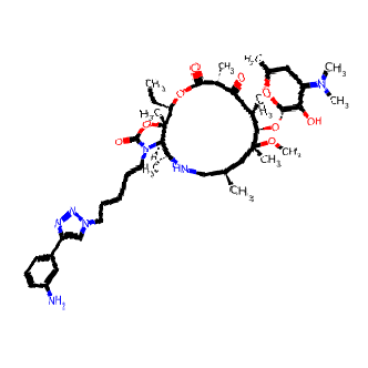 CC[C@H]1OC(=O)[C@H](C)C(=O)[C@@H](C)[C@@H](O[C@@H]2OC(C)CC(N(C)C)C2O)[C@](C)(OC)C[C@@H](C)CN[C@H](C)[C@H]2N(CCCCCn3cc(-c4cccc(N)c4)nn3)C(=O)O[C@]12C